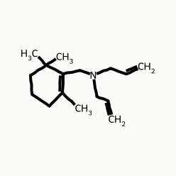 C=CCN(CC=C)CC1=C(C)CCCC1(C)C